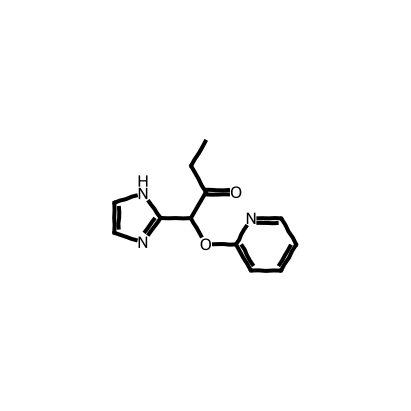 CCC(=O)C(Oc1ccccn1)c1ncc[nH]1